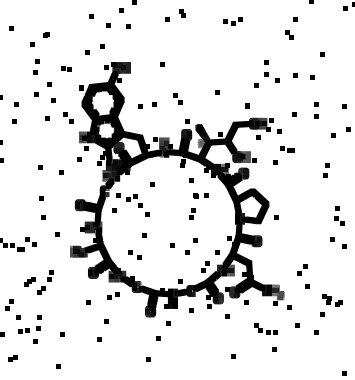 CCC(C)C1NC(=O)CNC(=O)C(Cc2c(SC)[nH]c3ccc(O)cc23)NC(=O)C([C@@H](C)C(O)CO)NC(=O)C2CCCN2C(=O)C(CC(N)=O)NC(=O)CNC(=O)CNC1=O